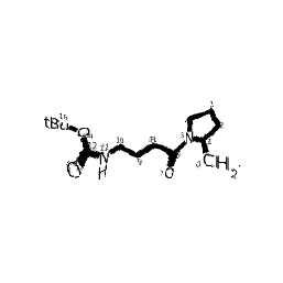 [CH2]C1CCCN1C(=O)CCCNC(=O)OC(C)(C)C